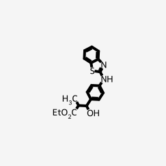 CCOC(=O)C(C)C(O)c1ccc(Nc2nc3ccccc3s2)cc1